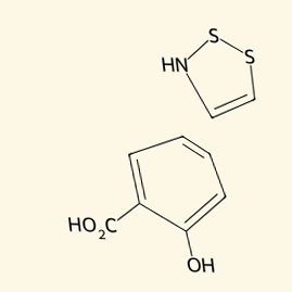 C1=CSSN1.O=C(O)c1ccccc1O